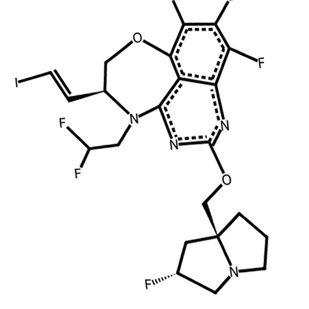 Fc1c(Br)c(Cl)c2c3c(nc(OC[C@@]45CCCN4C[C@H](F)C5)nc13)N(CC(F)F)[C@@H](/C=C/I)CO2